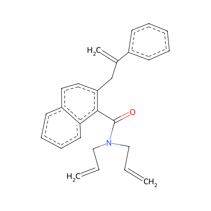 C=CCN(CC=C)C(=O)c1c(CC(=C)c2ccccc2)ccc2ccccc12